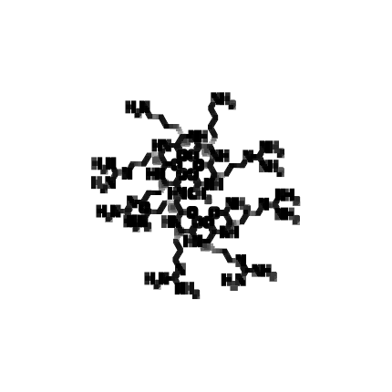 CC(=O)N[C@@H](CCCN=C(N)N)C(=O)N[C@@H](CCCCN)C(=O)N[C@@H](CCCCN)C(=O)N[C@@H](CCCN=C(N)N)C(=O)N[C@@H](CCCN=C(N)N)C(=O)N[C@@H](CCC(N)=O)C(=O)N[C@@H](CCCN=C(N)N)C(=O)N[C@@H](CCCN=C(N)N)C(=O)N[C@@H](CCCN=C(N)N)C(N)=O